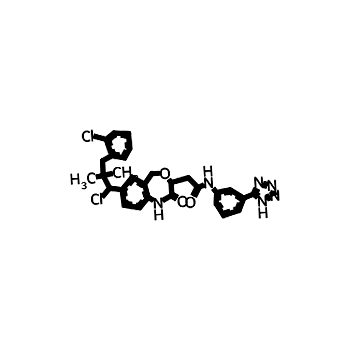 CC(C)(Cc1ccccc1Cl)C(Cl)c1ccc2c(c1)COC(CC(=O)Nc1cccc(-c3nnn[nH]3)c1)C(=O)N2